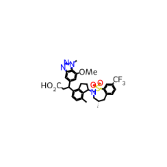 COc1cc(C(CC(=O)O)c2ccc(C)c3c2CCC3N2C[C@@H](C)Cc3ccc(C(F)(F)F)cc3S2(=O)=O)cc2nnn(C)c12